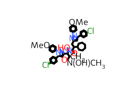 COc1ccc(-n2nc(CC(C(=O)N(O)C(c3cc(-c4ccc(Cl)cc4)n(-c4ccc(OC)cc4)n3)C(C)C(=O)N(C)O)C3CCCCCC3)cc2-c2ccc(Cl)cc2)cc1